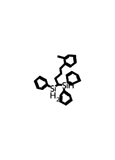 Cc1ccccc1CCCC([SiH2]c1ccccc1)[SiH](c1ccccc1)c1ccccc1